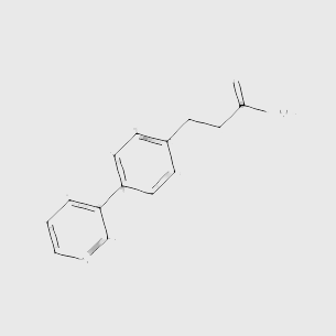 COC(=O)CCc1ccc(-c2cccnc2)cc1